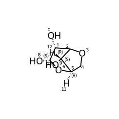 O[C@@H]1C2OC[C@@H](O[C@@H]1O)[C@@H]2O